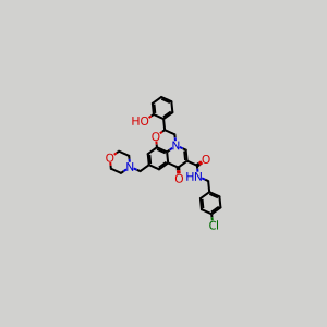 O=C(NCc1ccc(Cl)cc1)c1cn2c3c(cc(CN4CCOCC4)cc3c1=O)OC(c1ccccc1O)C2